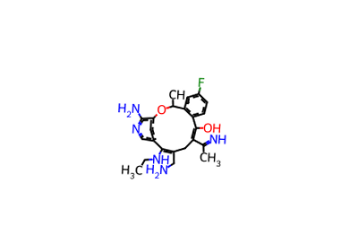 CCN/C1=C(\CN)C/C(C(C)=N)=C(/O)c2ccc(F)cc2C(C)Oc2cc1cnc2N